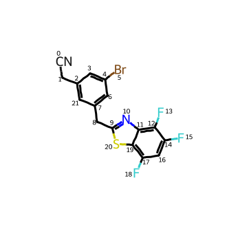 N#CCc1cc(Br)cc(Cc2nc3c(F)c(F)cc(F)c3s2)c1